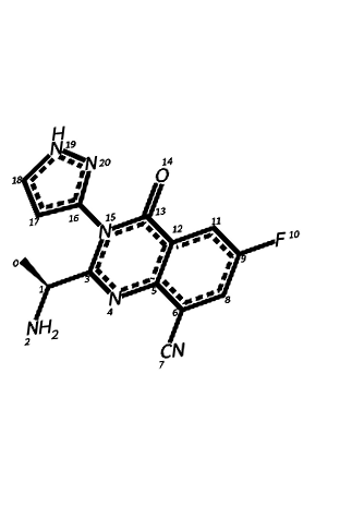 C[C@H](N)c1nc2c(C#N)cc(F)cc2c(=O)n1-c1cc[nH]n1